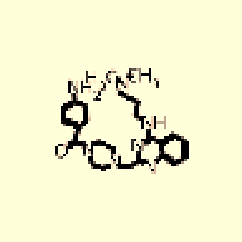 CN(C)CCCNc1nc(CN2CCN(C(=O)c3ccc(N)cc3)CC2)nc2ccccc12